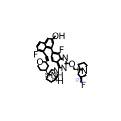 C#Cc1c(F)ccc2cc(O)cc(-c3ccc4c(N5C[C@@H]6CC[C@](C7CCOCC7)(C5)N6)nc(OC[C@@]56CCCN5C/C(=C\F)C6)nc4c3F)c12